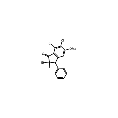 CCC1(C)C(=O)c2c(cc(OC)c(Cl)c2Cl)C1c1ccccc1